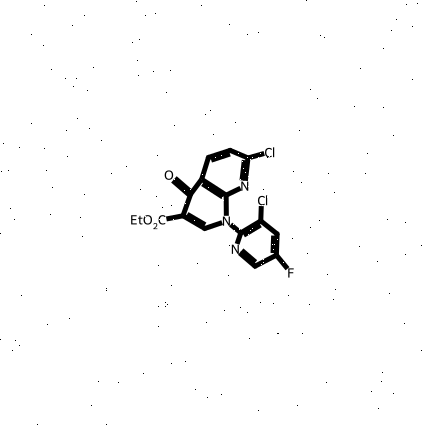 CCOC(=O)c1cn(-c2ncc(F)cc2Cl)c2nc(Cl)ccc2c1=O